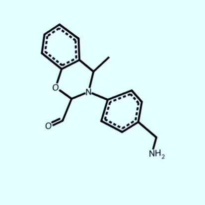 CC1c2ccccc2OC(C=O)N1c1ccc(CN)cc1